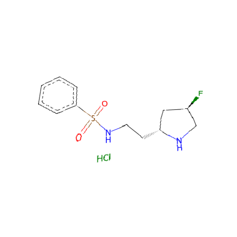 Cl.O=S(=O)(NCC[C@@H]1C[C@@H](F)CN1)c1ccccc1